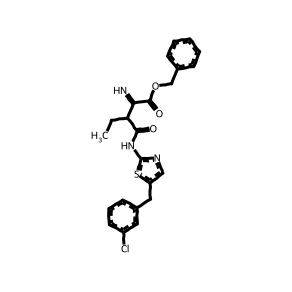 CCC(C(=N)C(=O)OCc1ccccc1)C(=O)Nc1ncc(Cc2cccc(Cl)c2)s1